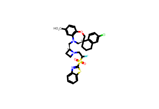 O=C(O)c1ccc2c(c1)N(C[C@@H]1CCN1CC(F)S(=O)(=O)c1nc3ccccc3s1)C[C@@]1(CCCc3cc(Cl)ccc31)CO2